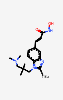 CCCCc1nc2cc(C=CC(=O)NO)ccc2n1CC(C)(C)CN(C)C